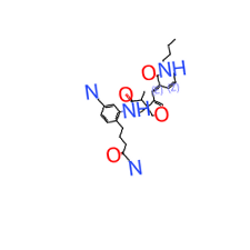 C/C=C\C(=C/C1=COCC1(C)C(C)C(=O)Nc1cc(C#N)ccc1CCCC(=O)C#N)C(=O)NCCCC